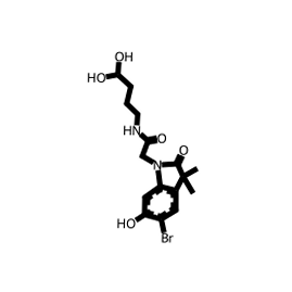 CC1(C)C(=O)N(CC(=O)NCCCC(O)O)c2cc(O)c(Br)cc21